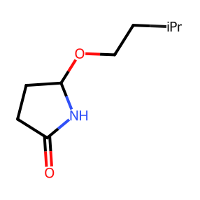 CC(C)CCOC1CCC(=O)N1